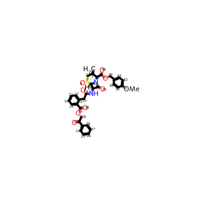 C=C1C[S+]([O-])[C@@H]2C(NC(=O)Cc3ccccc3C(=O)OCC(=O)c3ccccc3)C(=O)N2C1C(=O)OCc1ccc(OC)cc1